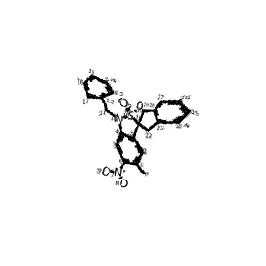 Cc1cc2c(cc1[N+](=O)[O-])N(Cc1ccccc1)S(=O)(=O)C21Cc2ccccc2C1